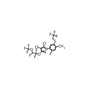 Cc1cc(F)c(-n2nc(OC(F)(F)C(F)OC(F)(F)F)c(Cl)c2Cl)cc1SCC(F)(F)F